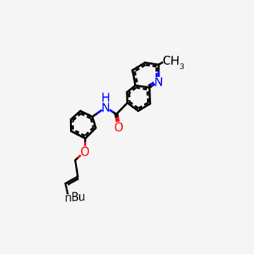 CCCCC=CCOc1cccc(NC(=O)c2ccc3nc(C)ccc3c2)c1